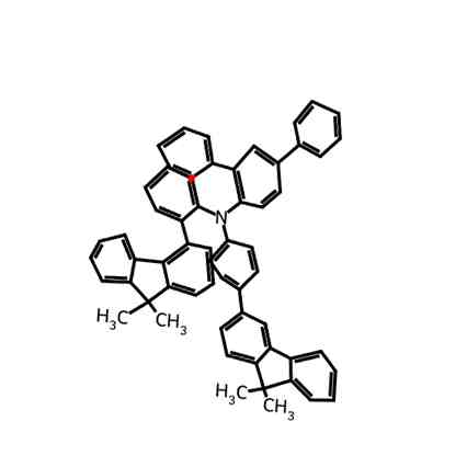 CC1(C)c2ccccc2-c2cc(-c3ccc(N(c4ccc(-c5ccccc5)cc4-c4ccccc4)c4ccccc4-c4cccc5c4-c4ccccc4C5(C)C)cc3)ccc21